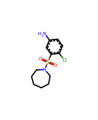 Nc1ccc(Cl)c(S(=O)(=O)N2CCCCCC2)c1